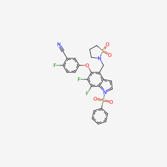 N#Cc1cc(Oc2c(F)c(F)c3c(ccn3S(=O)(=O)c3ccccc3)c2CN2CCCS2(=O)=O)ccc1F